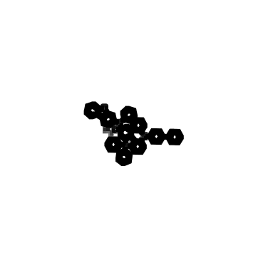 CC1(N(c2ccccc2)c2ccc3c(c2)oc2ccccc23)C=CC2=C(C1)[Si](c1ccccc1)(c1ccccc1)c1cccc(N(c3ccccc3)c3ccc(-c4ccccc4)cc3)c12